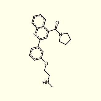 CNCCOc1cccc(-c2cc(C(=O)N3CCCC3)c3ccccc3n2)c1